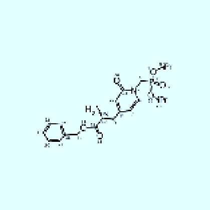 CC(C)OP(=O)(Cn1ccc(C[C@H](N)C(=O)OCc2ccccc2)cc1=O)OC(C)C